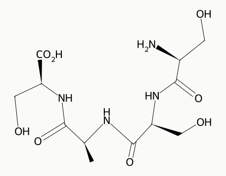 C[C@H](NC(=O)[C@H](CO)NC(=O)[C@@H](N)CO)C(=O)N[C@@H](CO)C(=O)O